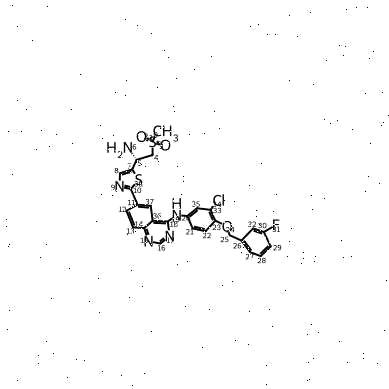 CS(=O)(=O)C[C@@H](N)c1cnc(-c2ccc3ncnc(Nc4ccc(OCc5cccc(F)c5)c(Cl)c4)c3c2)s1